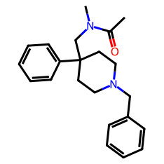 CC(=O)N(C)CC1(c2ccccc2)CCN(Cc2ccccc2)CC1